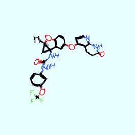 O=C1CCc2c(Oc3ccc4c(c3)C3(NC(=O)Nc5cccc(OC(F)(F)F)c5)C[C@@H]3O4)ccnc2N1